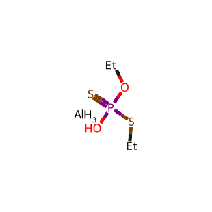 CCOP(O)(=S)SCC.[AlH3]